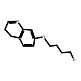 BrCCCCOc1ccc2c(c1)N=CCC2